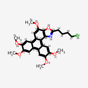 COc1cc2c3cc(OC)c(OC)cc3c3c(cc(OC)c4oc(CCCCBr)nc43)c2cc1OC